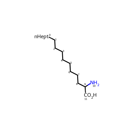 CCCCCCCCCCCCCCCC(N)C(=O)O